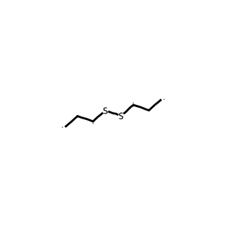 [CH2]C[CH]SS[CH]C[CH2]